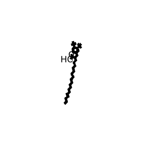 CCCCCCCCCCCCCCCCCCC(Cc1ccc(C(C)(C)C)c(C(C)(C)C)c1)C(=O)O